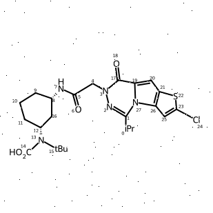 CC(C)c1nn(CC(=O)N[C@H]2CCC[C@@H](N(C(=O)O)C(C)(C)C)C2)c(=O)c2cc3sc(Cl)cc3n12